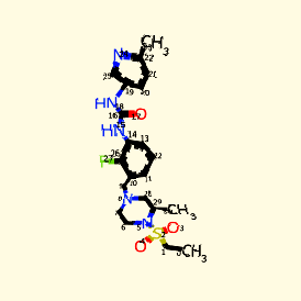 CCS(=O)(=O)N1CCN(Cc2cccc(NC(=O)Nc3ccc(C)nc3)c2F)C[C@H]1C